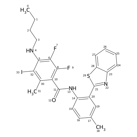 CCCCNc1c(F)c(F)c(C(=O)Nc2ccc(C)cc2-c2nc3ccccc3s2)c(C)c1I